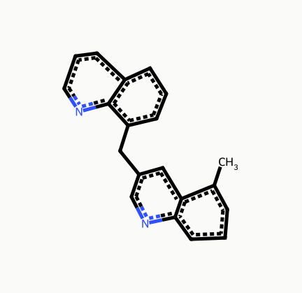 Cc1cccc2ncc(Cc3cccc4cccnc34)cc12